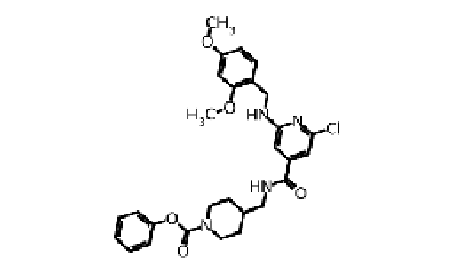 COc1ccc(CNc2cc(C(=O)NCC3CCN(C(=O)Oc4ccccc4)CC3)cc(Cl)n2)c(OC)c1